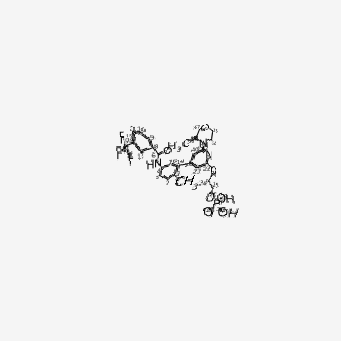 Cc1ccc(NC(=O)c2cccc(C(F)(F)F)c2)cc1-c1cc(OCCOP(=O)(O)O)nc(N2CCOC[C@H]2C)c1